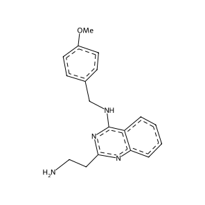 COc1ccc(CNc2nc(CCN)nc3ccccc23)cc1